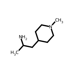 CC(N)CC1CCN(C)CC1